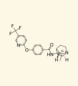 C[C@H]1[C@H](NC(=O)c2ccc(Oc3ccc(C(F)(F)F)cn3)cc2)C2CCN1CC2